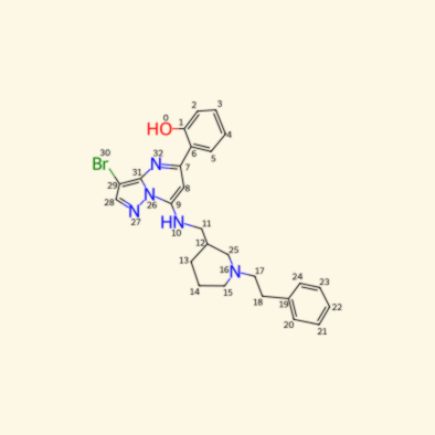 Oc1ccccc1-c1cc(NCC2CCCN(CCc3ccccc3)C2)n2ncc(Br)c2n1